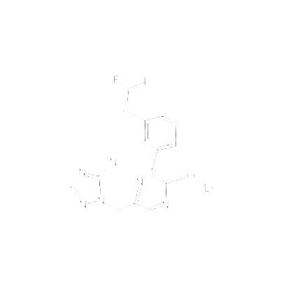 CCOc1ncc(Cn2ncnc2N=O)nc1-c1cccc(OC(F)F)c1